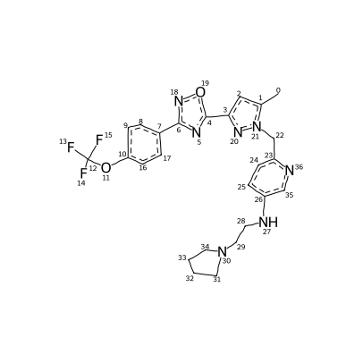 Cc1cc(-c2nc(-c3ccc(OC(F)(F)F)cc3)no2)nn1Cc1ccc(NCCN2CCCC2)cn1